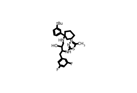 Cc1nnc(NC(Cc2cc(F)cc(F)c2)C(O)CNC2(c3cccc(C(C)(C)C)c3)CCCCC2)s1